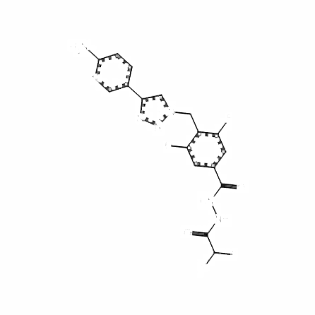 Nc1ccc(-c2cn(Cc3c(F)cc(C(=O)NNC(=O)C(F)F)cc3F)nn2)cn1